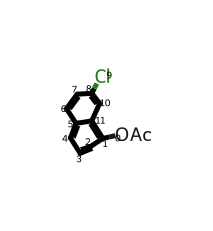 CC(=O)Oc1cccc2ccc(Cl)cc12